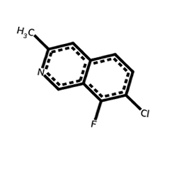 Cc1cc2ccc(Cl)c(F)c2cn1